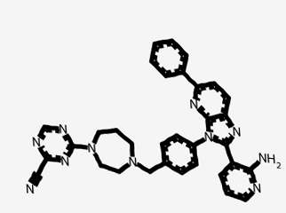 N#Cc1ncnc(N2CCCN(Cc3ccc(-n4c(-c5cccnc5N)nc5ccc(-c6ccccc6)nc54)cc3)CC2)n1